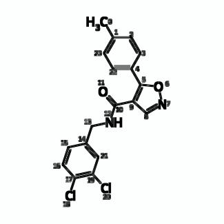 Cc1ccc(-c2oncc2C(=O)NCc2ccc(Cl)c(Cl)c2)cc1